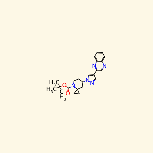 CC(C)(C)OC(=O)N1CCC(n2cc(-c3cnc4ccccc4n3)cn2)CC12CC2